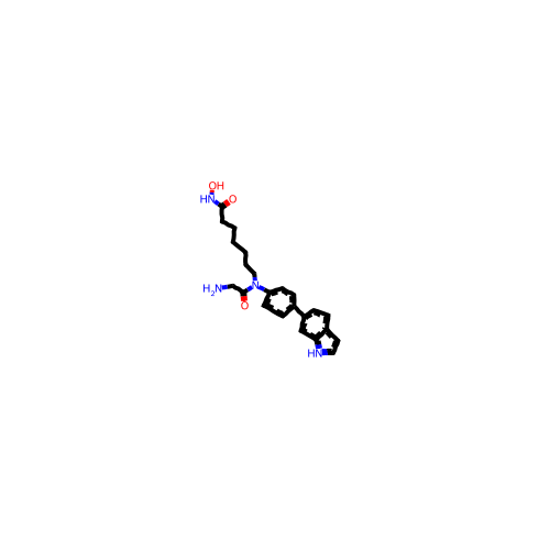 NCC(=O)N(CCCCCCC(=O)NO)c1ccc(-c2ccc3cc[nH]c3c2)cc1